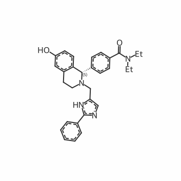 CCN(CC)C(=O)c1ccc([C@H]2c3ccc(O)cc3CCN2Cc2cnc(-c3ccccc3)[nH]2)cc1